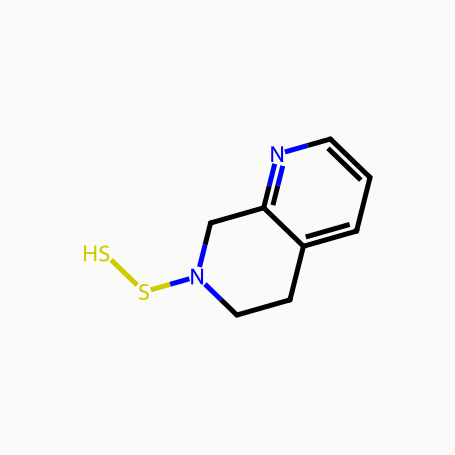 SSN1CCc2cccnc2C1